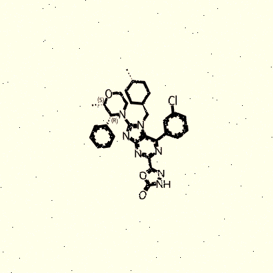 C[C@@H]1OCCN(c2nc3nc(-c4n[nH]c(=O)o4)nc(-c4cccc(Cl)c4)c3n2C[C@H]2CC[C@H](C)CC2)[C@@H]1c1ccccc1